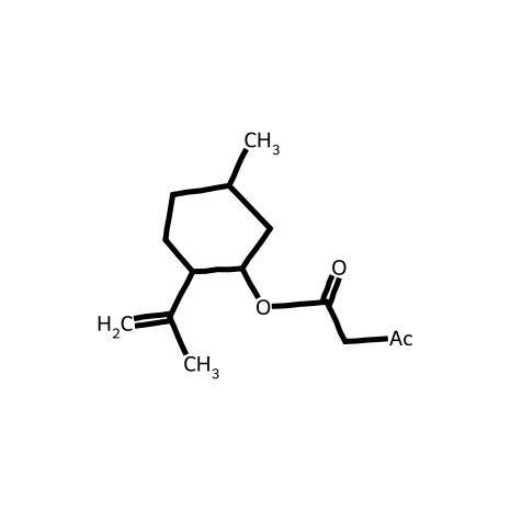 C=C(C)C1CCC(C)CC1OC(=O)CC(C)=O